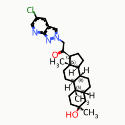 C[C@@]1(O)CC[C@@]2(C)[C@H](CC[C@@H]3[C@@H]2CC[C@]2(C)[C@@H](C(=O)Cn4cc5cc(Cl)cnc5n4)CC[C@@H]32)C1